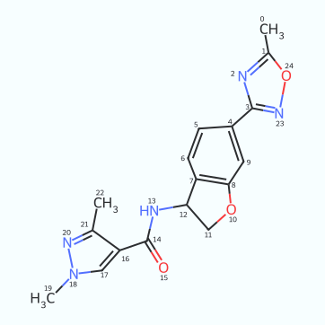 Cc1nc(-c2ccc3c(c2)OCC3NC(=O)c2cn(C)nc2C)no1